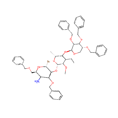 CCC1C(OC)[C@H](OC2C(OCc3ccccc3)C(N)[C@@H](COCc3ccccc3)O[C@@H]2Br)O[C@H](C)C1O[C@@H]1OC[C@@H](OCc2ccccc2)C(OCc2ccccc2)C1OCc1ccccc1